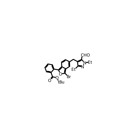 CCc1nn(CC)c(C=O)c1Cc1ccc2c(-c3ccccc3C(=O)OC(C)(C)C)oc(Br)c2c1